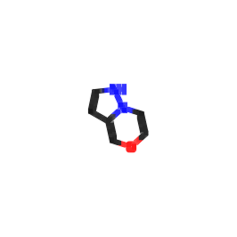 C1=CC2=COC=CN2N1